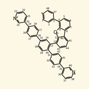 c1ccc(-c2cccc3c2oc2c(-c4cc(-c5ccc(-c6cccnc6)cc5)ccc4-c4ccc(-c5cccnc5)cc4)cccc23)cc1